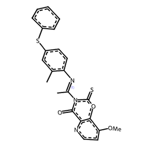 COc1ccnc2c(=O)n(/C(C)=N/c3ccc(Sc4ccccc4)cc3C)c(=S)oc12